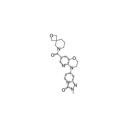 Cn1nc2cc(N3CCOc4cc(C(=O)N5CCCC6(COC6)C5)cnc43)ccn2c1=O